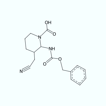 N#CCC1CCCN(C(=O)O)C1NC(=O)OCc1ccccc1